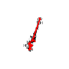 CC[C@@]1(O)C(=O)OCc2c1cc1n(c2=O)Cc2c-1nc1cc(F)c(C)c3c1c2CC(C1C[C@@H](OCNC(=O)CNCC(C=O)(Cc2ccccc2)NC(=O)CNC(=O)CNC(=O)COCCOCCOCCOCCOCCOCCOCCOCCNC(=O)CCCCCN2C(=O)C=CC2=O)CCC1(C=O)CN)C3